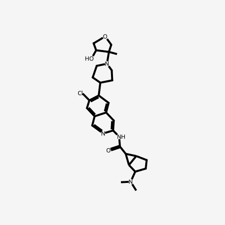 CN(C)C1CCC2C(C(=O)Nc3cc4cc(C5CCN(C6(C)COCC6O)CC5)c(Cl)cc4cn3)C21